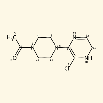 CC(=O)N1CCN(C2=C(Cl)NCC=N2)CC1